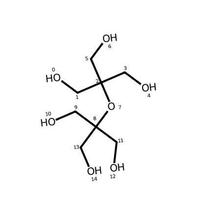 OCC(CO)(CO)OC(CO)(CO)CO